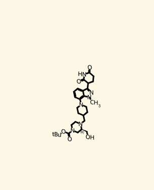 Cn1nc(C2CCC(=O)NC2=O)c2cccc(N3CCC(CN4CCN(C(=O)OC(C)(C)C)C[C@@H]4CO)CC3)c21